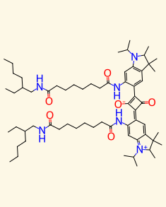 CCCCC(CC)CNC(=O)CCCCCCC(=O)Nc1cc2c(cc1C1=C([O-])/C(=c3/cc4c(cc3NC(=O)CCCCCCC(=O)NCC(CC)CCCC)=[N+](C(C)C)C(C)C4(C)C)C1=O)C(C)(C)C(C)N2C(C)C